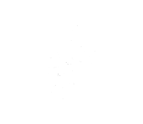 C=C/C=C(\C=C/Cc1ccccc1)c1cc(C)cc(N(Cc2ncc(C)c(OC)c2C)C(=O)OC(C)(C)C)c1